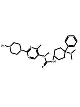 CC(=O)N1CCN(c2ncc(N3C[C@]4(CC[C@](c5ccccc5)(N(C)C)CC4)NC3=O)c(C)n2)CC1